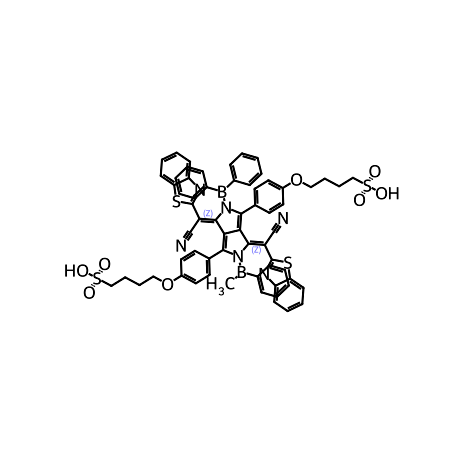 CB(c1ccccc1)n1c(-c2ccc(OCCCCS(=O)(=O)O)cc2)c2/c(=C(\C#N)c3nc4ccccc4s3)n(B(c3ccccc3)c3ccccc3)c(-c3ccc(OCCCCS(=O)(=O)O)cc3)c2/c1=C(\C#N)c1nc2ccccc2s1